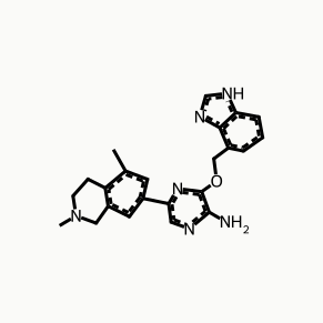 Cc1cc(-c2cnc(N)c(OCc3cccc4[nH]cnc34)n2)cc2c1CCN(C)C2